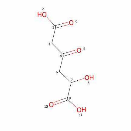 O=C(O)CC(=O)CC(O)C(=O)O